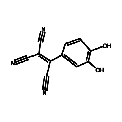 N#CC(C#N)=C(C#N)c1ccc(O)c(O)c1